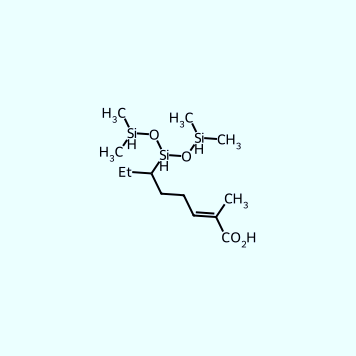 CCC(CCC=C(C)C(=O)O)[SiH](O[SiH](C)C)O[SiH](C)C